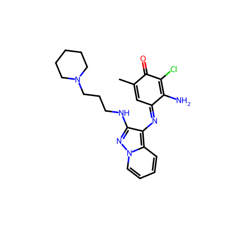 CC1=C/C(=N\c2c(NCCCN3CCCCC3)nn3ccccc23)C(N)=C(Cl)C1=O